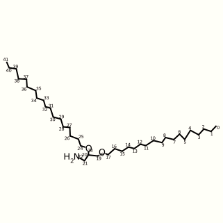 CCCCCCCCCCCCCCCCCCOCC(CN)OCCCCCCCCCCCCCCCCCC